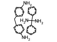 NC(N)(c1ccccc1)c1ccccc1.Nc1ccc(Cc2ccc(N)cc2)cc1